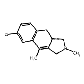 CC1=C2CN(C)CC2Cc2ccc(Cl)cc21